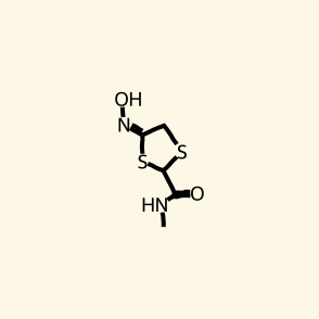 CNC(=O)C1SCC(=NO)S1